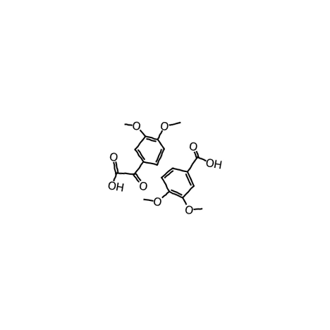 COc1ccc(C(=O)C(=O)O)cc1OC.COc1ccc(C(=O)O)cc1OC